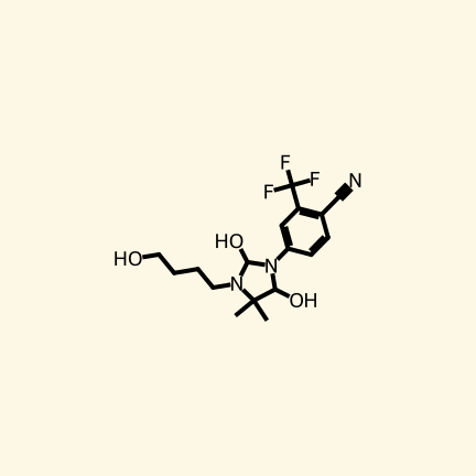 CC1(C)C(O)N(c2ccc(C#N)c(C(F)(F)F)c2)C(O)N1CCCCO